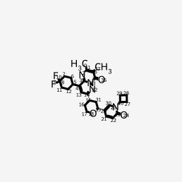 Cc1nc2c(C3CCC(F)(F)CC3)cc([C@H]3CCO[C@@H](c4ccc(=O)n(C5CCC5)c4)C3)nn2c(=O)c1C